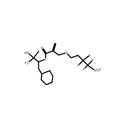 C=C(COCCC(F)(F)C(F)(F)S(=O)(=O)O)C(=O)OC(CC1CCCCC1)C(C)(O)C(F)(F)F